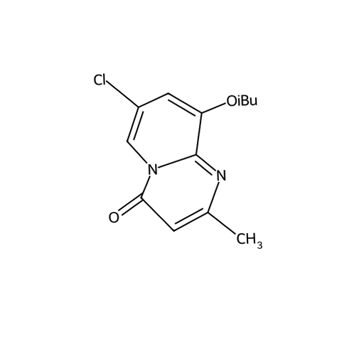 Cc1cc(=O)n2cc(Cl)cc(OCC(C)C)c2n1